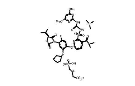 CC(C)=C1OC(=O)N(c2cc(OC3CCCC3)c(Cl)cc2F)C1=O.COc1cc(OC)nc(NC(=O)NS(=O)(=O)c2ncccc2C(=O)N(C)C)n1.C[S+](C)C.O=C(O)CNCP(=O)([O-])O